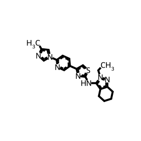 CCn1nc2c(c1Nc1nc(-c3ccc(-n4cnc(C)c4)nc3)cs1)CCCC2